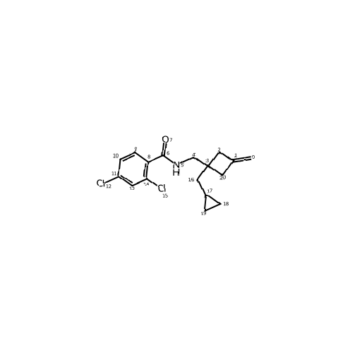 C=C1CC(CNC(=O)c2ccc(Cl)cc2Cl)(CC2CC2)C1